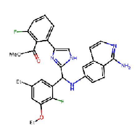 CCOc1cc(CC)cc(C(Nc2ccc3c(N)nccc3c2)c2nc(-c3cccc(F)c3C(=O)OC)c[nH]2)c1F